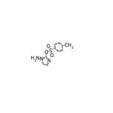 Cc1ccc(S(=O)(=O)Oc2nccn2N)cc1